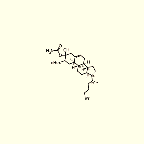 CCCCCCC1C[C@@]2(C)C(=CC[C@H]3[C@@H]4CC[C@H]([C@H](C)CCCC(C)C)[C@@]4(C)CC[C@@H]32)CC1(O)OC(N)=O